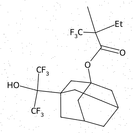 CCC(C)(C(=O)OC12CC3CC(C1)CC(C(O)(C(F)(F)F)C(F)(F)F)(C3)C2)C(F)(F)F